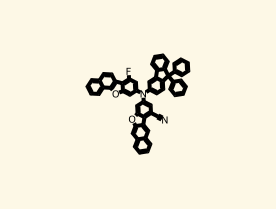 N#Cc1cc(N(c2ccc3c(c2)-c2ccccc2C3(c2ccccc2)c2ccccc2)c2cc(F)c3c(c2)oc2c4ccccc4ccc23)cc2oc3cc4ccccc4cc3c12